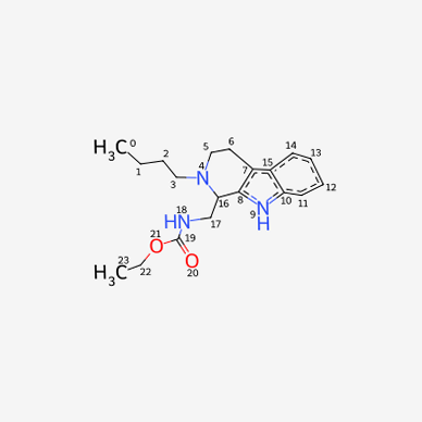 CCCCN1CCc2c([nH]c3ccccc23)C1CNC(=O)OCC